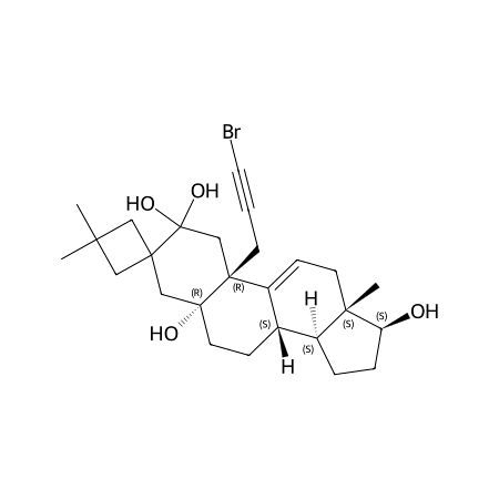 CC1(C)CC2(C1)C[C@]1(O)CC[C@@H]3C(=CC[C@]4(C)[C@@H](O)CC[C@@H]34)[C@@]1(CC#CBr)CC2(O)O